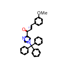 COc1cccc(/C=C/C(=O)c2cn(C(c3ccccc3)(c3ccccc3)c3ccccc3)cn2)c1